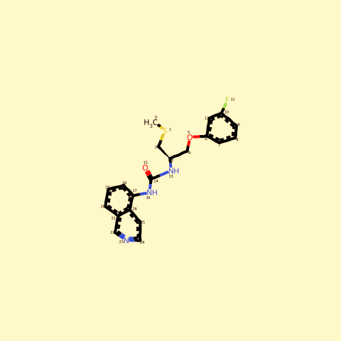 CSC[C@@H](COc1cccc(F)c1)NC(=O)Nc1cccc2cnccc12